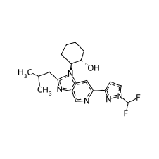 CC(C)Cc1nc2cnc(-c3ccn(C(F)F)n3)cc2n1[C@H]1CCCC[C@@H]1O